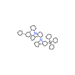 c1ccc(-c2cccc(-c3ccccc3-n3c4ccccc4c4c(-n5c6ccccc6c6ccc([Si](c7ccccc7)(c7ccccc7)c7ccccc7)cc65)cccc43)c2)cc1